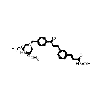 C[C@@H]1CN(Cc2ccc(C(=O)C=Cc3cccc(C=CC(=O)NO)c3)cc2)C[C@H](C)N1